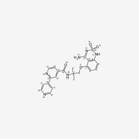 CC(C)(COc1cccc2c1C(N)=NS(=O)(=O)N2)NC(=O)c1ccnc(-c2ccncc2)c1